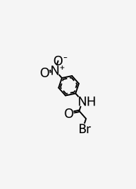 O=C(CBr)Nc1ccc([N+](=O)[O-])cc1